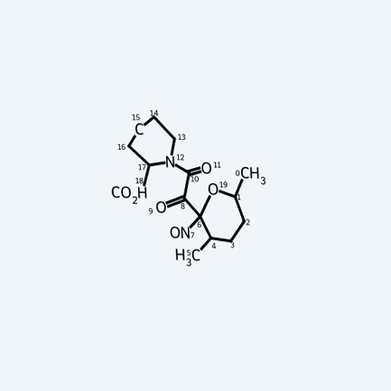 CC1CCC(C)C(N=O)(C(=O)C(=O)N2CCCCC2C(=O)O)O1